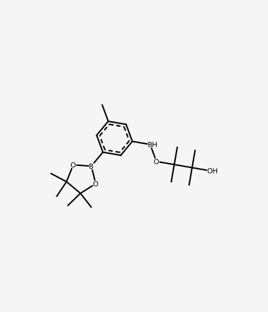 Cc1cc(BOC(C)(C)C(C)(C)O)cc(B2OC(C)(C)C(C)(C)O2)c1